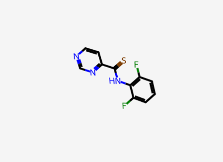 Fc1cccc(F)c1NC(=S)c1ccncn1